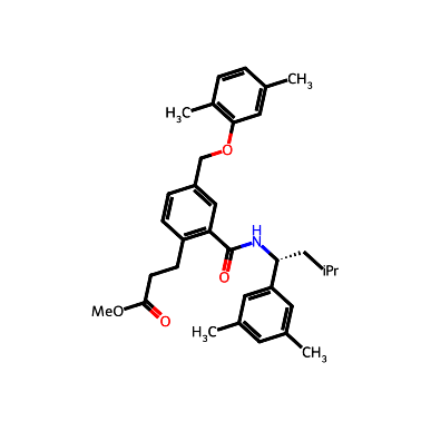 COC(=O)CCc1ccc(COc2cc(C)ccc2C)cc1C(=O)N[C@H](CC(C)C)c1cc(C)cc(C)c1